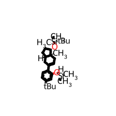 C[SiH](C)Oc1cc(C(C)(C)C)ccc1C1=CC[C@@]2(C)[C@@H](CC[C@@H]2O[Si](C)(C)C(C)(C)C)C1